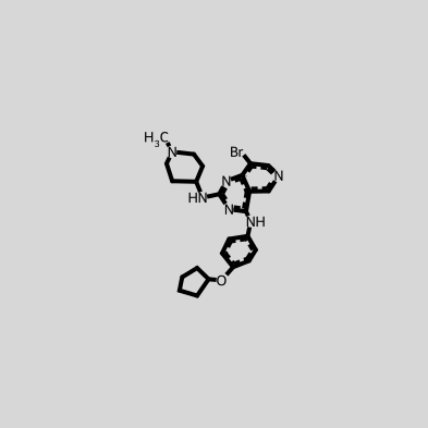 CN1CCC(Nc2nc(Nc3ccc(OC4CCCC4)cc3)c3cncc(Br)c3n2)CC1